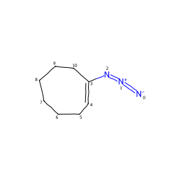 [N-]=[N+]=NC1=CCCCCCC1